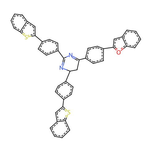 c1ccc2oc(-c3ccc(C4=NC(c5ccc(-c6cc7ccccc7s6)cc5)=NC(c5ccc(-c6cc7ccccc7s6)cc5)C4)cc3)cc2c1